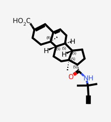 C#CC(C)(C)NC(=O)[C@H]1CC[C@H]2[C@@H]3CC=C4C=C(C(=O)O)CC[C@]4(C)[C@H]3CC[C@]12C